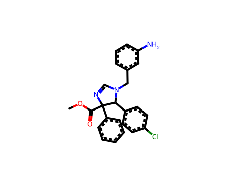 COC(=O)C1(c2ccccc2)N=CN(Cc2cccc(N)c2)C1c1ccc(Cl)cc1